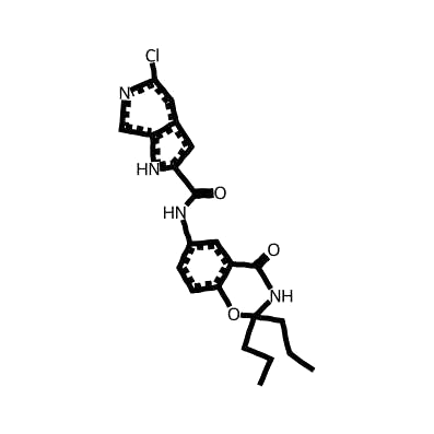 CCCC1(CCC)NC(=O)c2cc(NC(=O)c3cc4cc(Cl)ncc4[nH]3)ccc2O1